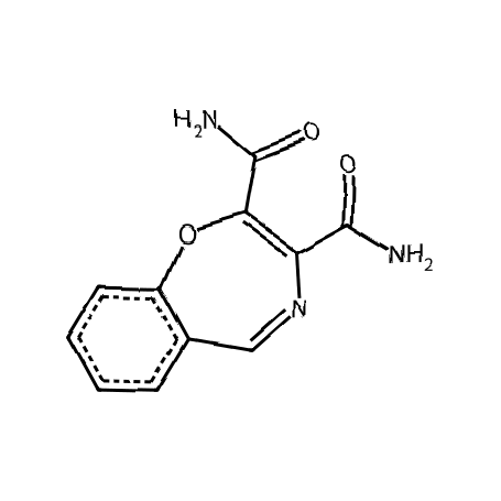 NC(=O)C1=C(C(N)=O)Oc2ccccc2C=N1